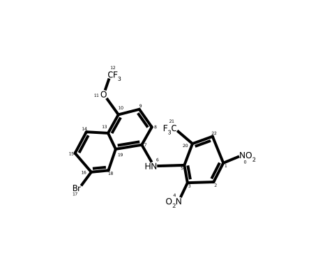 O=[N+]([O-])c1cc([N+](=O)[O-])c(Nc2ccc(OC(F)(F)F)c3ccc(Br)cc23)c(C(F)(F)F)c1